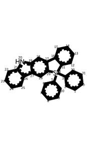 c1ccc([Si]2(c3ccccc3)c3ccccc3-c3cc4[nH]c5ccccc5c4cc32)cc1